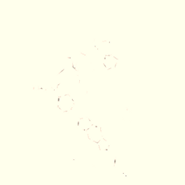 CCCCCCN1C(=CC2=C([O-])C(=CC3=[N+](CCCCCC)c4ccc(-c5cc6c(OCC(CC)CCCC)c7sc(C=C(C#N)C(=O)O)cc7c(OCC(CC)CCCC)c6s5)cc4C3(C)C)C2=O)C(C)(C)c2ccccc21